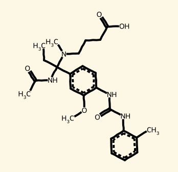 CCC(NC(C)=O)(c1ccc(NC(=O)Nc2ccccc2C)c(OC)c1)N(C)CCCC(=O)O